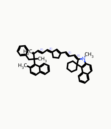 C=C(/C=C/C=C1C=C(/C=C/C=C2/N(C)c3ccc4ccccc4c3C23CCCCC3)CC/1)C(C)(Cc1ccccc1)c1c(C)ccc2ccccc12